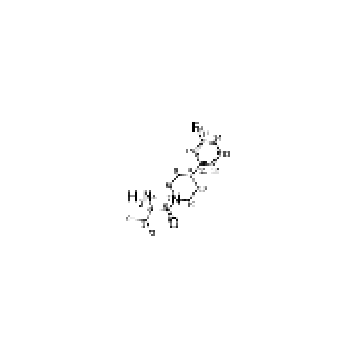 CC(C)C(N)C(=O)N1CCC(c2cccc(F)c2)CC1